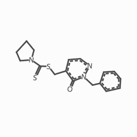 O=c1c(CSC(=S)N2CCCC2)ccnn1Cc1ccccc1